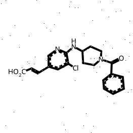 O=C(O)C=Cc1cnc(NC2CCN(C(=O)c3ccccc3)CC2)c(Cl)c1